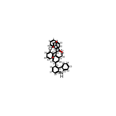 c1ccc(-c2cccc3c2C2(c4ccc(-c5cccc6[nH]c7ccccc7c56)cc4C3)c3ccccc3Oc3ccccc32)cc1